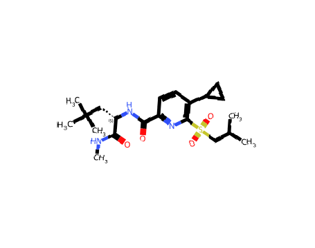 CNC(=O)[C@H](CC(C)(C)C)NC(=O)c1ccc(C2CC2)c(S(=O)(=O)CC(C)C)n1